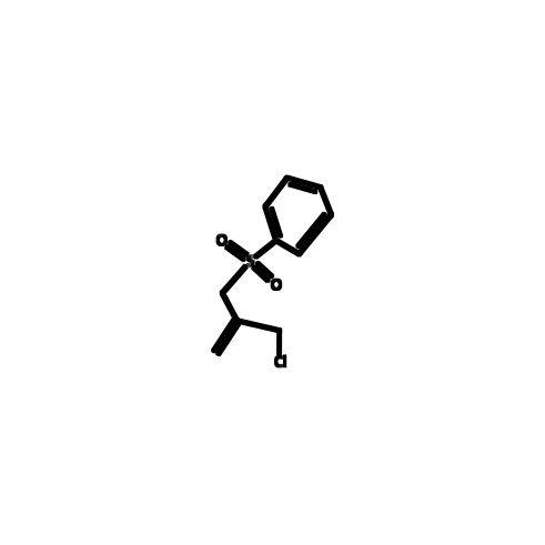 C=C(CCl)CS(=O)(=O)c1ccccc1